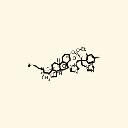 CCOP(=O)(O[C@H]1CC[C@@]2(C)C(=CC[C@H]3[C@@H]4CC[C@H]([C@H](C)CCCC(C)C)[C@@]4(C)CC[C@@H]32)C1)OC(Cn1cncn1)(Cn1cncn1)c1ccc(F)cc1F